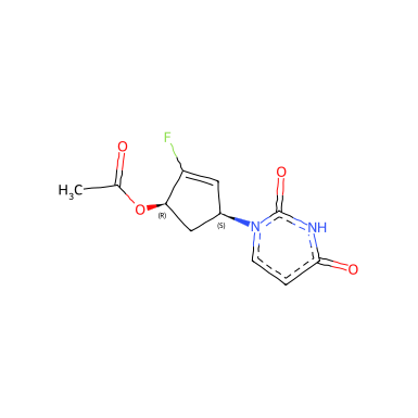 CC(=O)O[C@@H]1C[C@H](n2ccc(=O)[nH]c2=O)C=C1F